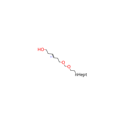 CCCCCCCCCOCOCC/C=C/CCO